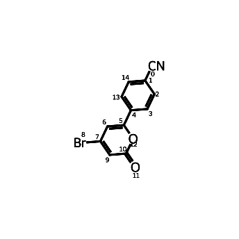 N#Cc1ccc(-c2cc(Br)cc(=O)o2)cc1